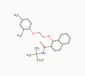 Cc1ccc(OCCOc2c(C(=O)NC(C)(C)C(=O)O)ccc3ccccc23)c(C)c1